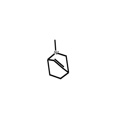 C[N+]1CC2C=CC1CC2